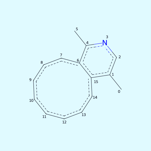 Cc1cnc(C)c2ccccccccc12